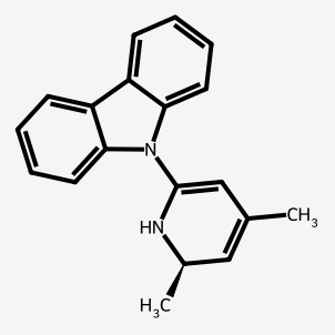 CC1=C[C@@H](C)NC(n2c3ccccc3c3ccccc32)=C1